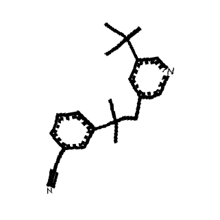 CC(C)(C)c1cncc(CC(C)(C)c2cccc(C#N)c2)c1